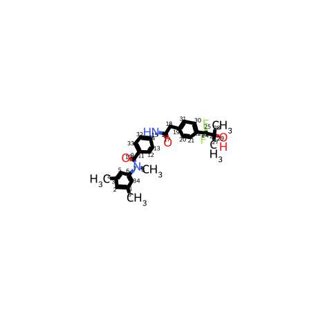 Cc1cc(C)cc(N(C)C(=O)c2ccc(NC(=O)Cc3ccc(C(F)(F)C(C)(C)O)cc3)cc2)c1